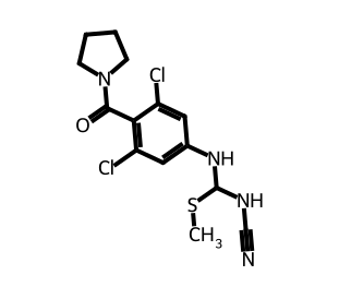 CSC(NC#N)Nc1cc(Cl)c(C(=O)N2CCCC2)c(Cl)c1